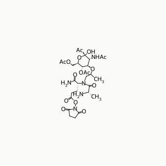 CC(=O)N[C@@H]1[C@@H](OC(C)CN(C(=O)[C@H](C)N)[C@H](CCC(=O)ON2C(=O)CCC2=O)C(N)=O)[C@H](OC(C)=O)[C@@H](COC(C)=O)O[C@@]1(O)C(C)=O